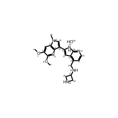 COc1cc2c(nc1OC)c(-c1cc3c(CNC4CNC4)ccnc3[nH]1)cn2C.Cl